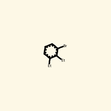 CCc1c[c]cc(Br)c1CC